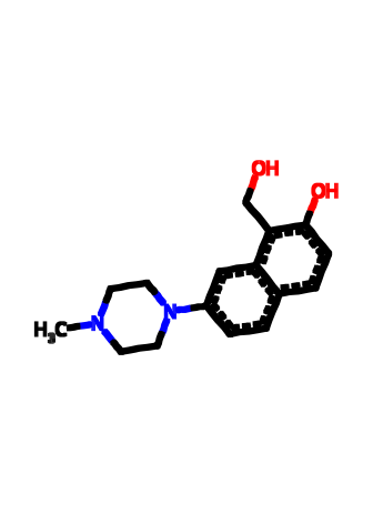 CN1CCN(c2ccc3ccc(O)c(CO)c3c2)CC1